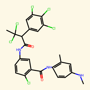 CNc1ccc(NC(=O)c2cc(NC(=O)C(c3cc(Cl)c(Cl)c(Cl)c3)C(C)(Cl)Cl)ccc2Cl)c(C)c1